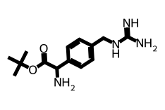 CC(C)(C)OC(=O)C(N)c1ccc(CNC(=N)N)cc1